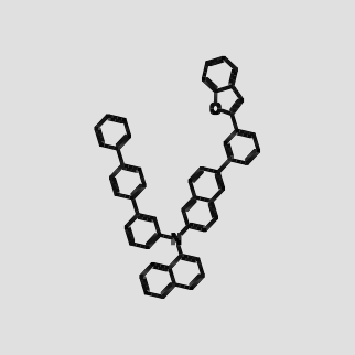 c1ccc(-c2ccc(-c3cccc(N(c4ccc5cc(-c6cccc(-c7cc8ccccc8o7)c6)ccc5c4)c4cccc5ccccc45)c3)cc2)cc1